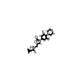 O=C1OC(CNC(=S)C2CC2)CN1c1cc(F)c(N2CCSCC2)c(F)c1